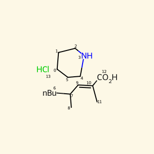 C1CCNCC1.CCCCC(C)C=C(C)C(=O)O.Cl